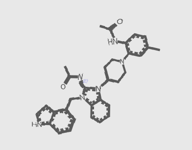 CC(=O)/N=c1\n(Cc2cccc3[nH]ccc23)c2ccccc2n1C1CCN(c2cc(C)ccc2NC(C)=O)CC1